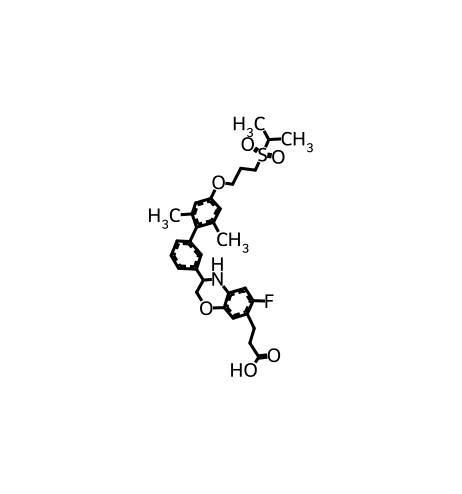 Cc1cc(OCCCS(=O)(=O)C(C)C)cc(C)c1-c1cccc(C2COc3cc(CCC(=O)O)c(F)cc3N2)c1